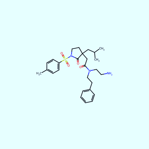 Cc1ccc(S(=O)(=O)N2CCC(CC(=O)N(CCN)CCc3ccccc3)(CC(C)C)C2=O)cc1